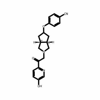 N#Cc1ccc(OC2C[C@@H]3CN(CC(=O)c4ccc(O)cn4)C[C@@H]3C2)cc1